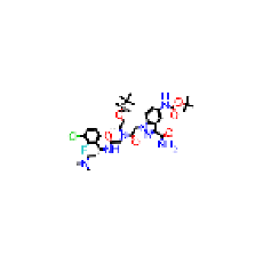 C[C@H](CO[Si](C)(C)C(C)(C)C)N(CC(=O)N[C@H](CCN(C)C)c1cccc(Cl)c1F)C(=O)Cn1nc(C(N)=O)c2cc(NC(=O)OC(C)(C)C)ccc21